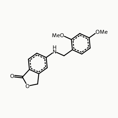 COc1ccc(CNc2ccc3c(c2)COC3=O)c(OC)c1